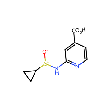 O=C(O)c1ccnc(N[S+]([O-])C2CC2)c1